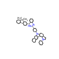 CC1(C)c2ccccc2-c2ccc(C3NC(c4ccc(-n5c6cc7ccccc7cc6c6c7c(ccc65)ccn7-c5ccccc5)cc4)=Nc4ccccc43)cc21